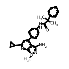 Cn1nc(N)c2c(-c3ccc(NC(=O)C(C)(C)c4ccccc4)cc3)cc(C3CC3)nc21